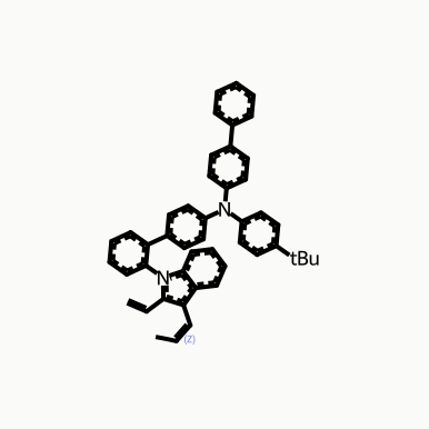 C=Cc1c(/C=C\C)c2ccccc2n1-c1ccccc1-c1ccc(N(c2ccc(-c3ccccc3)cc2)c2ccc(C(C)(C)C)cc2)cc1